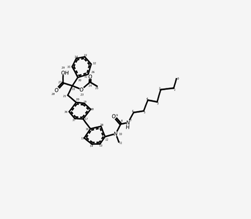 CCCCCCCNC(=O)N(C)c1cccc(-c2ccc(CC(OC(C)=O)(C(=O)O)c3ccccc3)cc2)c1